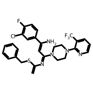 C=C(/N=C(\C=C(/N)c1ccc(F)c(Cl)c1)N1CCN(c2ncccc2C(F)(F)F)CC1)SCc1ccccc1